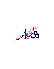 CC[C@H](C)[C@@H](C(=O)N[C@H]1CCc2cccc3c2N(C1=O)[C@H](C(=O)O)C3)N(CCOCCF)C(C)=O